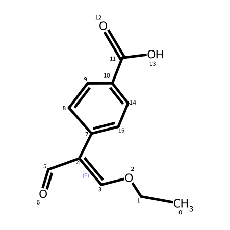 CCO/C=C(/C=O)c1ccc(C(=O)O)cc1